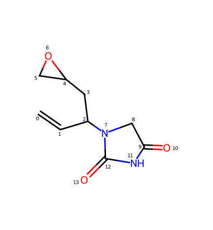 C=CC(CC1CO1)N1CC(=O)NC1=O